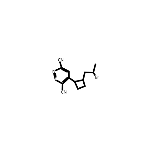 CC(Br)CC1CCC1c1cc(C#N)nnc1C#N